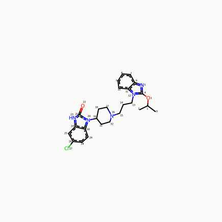 CC(C)Oc1nc2ccccc2n1CCCN1CCC(n2c(=O)[nH]c3cc(Cl)ccc32)CC1